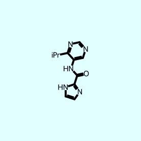 CC(C)c1ncncc1NC(=O)c1ncc[nH]1